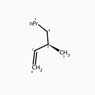 C=C[C@H](C)CCCC